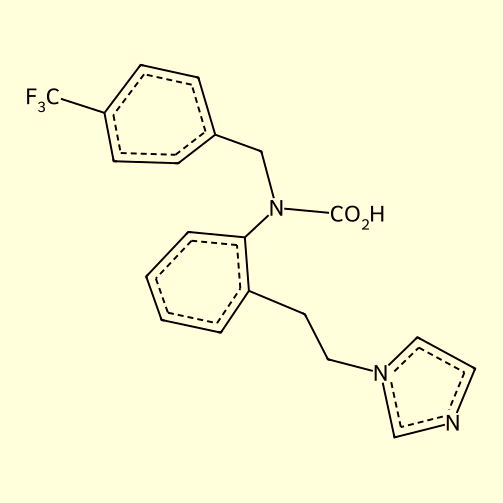 O=C(O)N(Cc1ccc(C(F)(F)F)cc1)c1ccccc1CCn1ccnc1